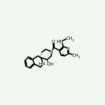 CNc1nc(C)ccc1C(=O)N1CC[C@]2(Cc3ccccc3CN2)[C@H](O)C1